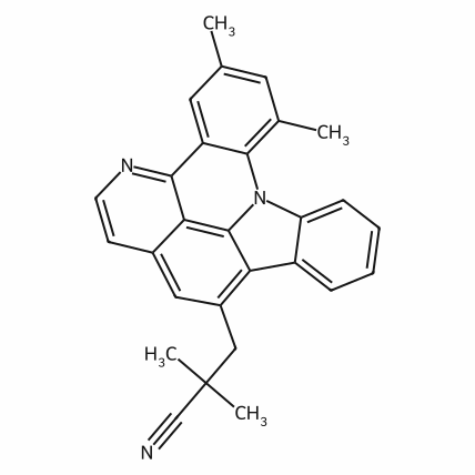 Cc1cc(C)c2c(c1)c1nccc3cc(CC(C)(C)C#N)c4c5ccccc5n2c4c31